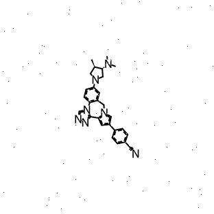 C[C@@H]1CN(c2ccc3c(c2)Cn2cc(-c4ccc(C#N)cc4)cc2-c2nncn2-3)C[C@H]1N(C)C